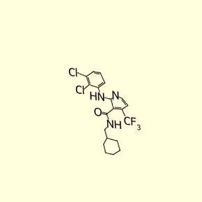 O=C(NCC1CCCCC1)c1c(C(F)(F)F)ccnc1Nc1cccc(Cl)c1Cl